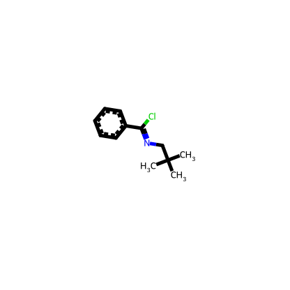 CC(C)(C)C/N=C(\Cl)c1ccccc1